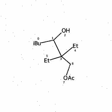 CCC(C)C(O)C(CC)(CC)COC(C)=O